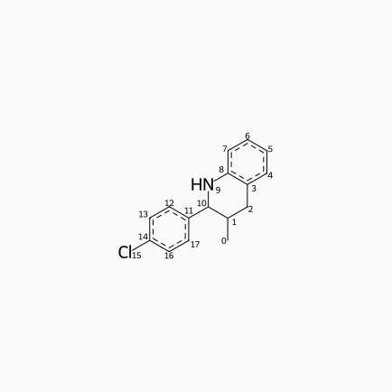 CC1Cc2ccccc2NC1c1ccc(Cl)cc1